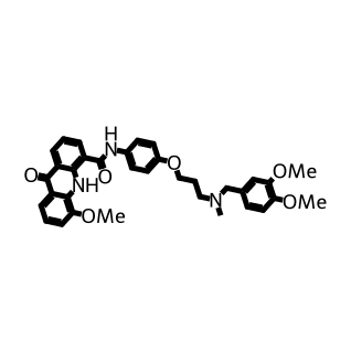 COc1ccc(CN(C)CCCOc2ccc(NC(=O)c3cccc4c(=O)c5cccc(OC)c5[nH]c34)cc2)cc1OC